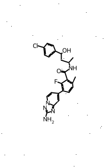 Cc1ccc(-c2ccn3nc(N)nc3c2)c(F)c1C(=O)NC(C)CC(O)c1ccc(Cl)cc1